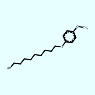 COc1ccc(OCCCCCCCCCO)cc1